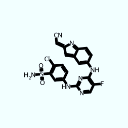 N#CC=C1C=c2cc(Nc3nc(Nc4ccc(Cl)c(S(N)(=O)=O)c4)ncc3F)ccc2=N1